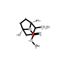 CCOC(=O)C1NC[C@H]2CC[C@@H]1N2C(=O)OC(C)(C)C